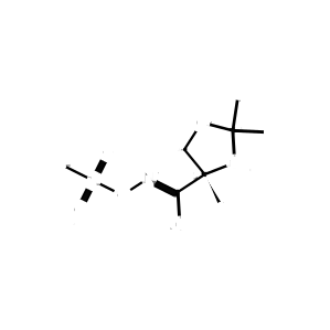 CC1(C)OC[C@@](C)(C(Cl)=NOS(C)(=O)=O)O1